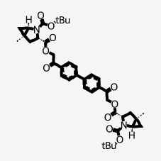 CC(C)(C)OC(=O)N1[C@H](C(=O)OCC(=O)c2ccc(-c3ccc(C(=O)COC(=O)[C@@H]4C[C@@]5(C)C[C@H]5N4C(=O)OC(C)(C)C)cc3)cc2)C[C@@]2(C)C[C@@H]12